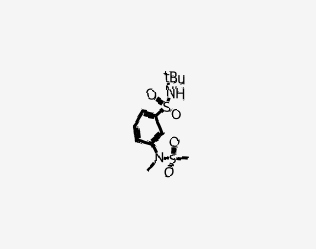 CN(c1cccc(S(=O)(=O)NC(C)(C)C)c1)S(C)(=O)=O